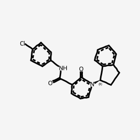 O=C(Nc1ccc(Cl)cc1)c1cccn([C@@H]2CCc3ccccc32)c1=O